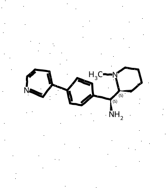 CN1CCCC[C@H]1[C@@H](N)c1ccc(-c2cccnc2)cc1